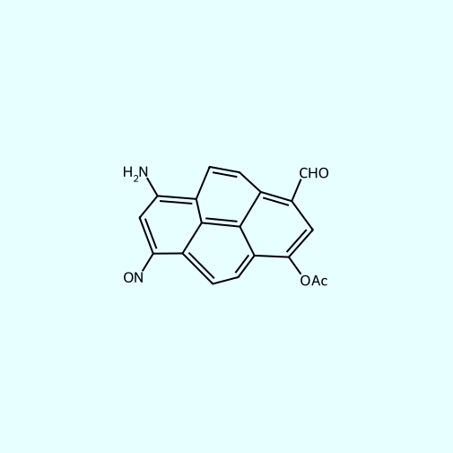 CC(=O)Oc1cc(C=O)c2ccc3c(N)cc(N=O)c4ccc1c2c34